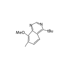 COc1c(C)ccc2c(C(C)(C)C)ncnc12